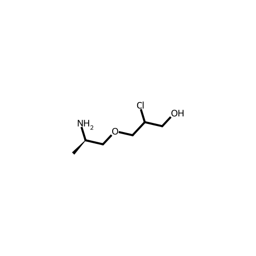 C[C@@H](N)COCC(Cl)CO